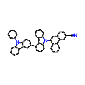 N#Cc1ccc2cc(-n3c4ccccc4c4c(-c5ccc6c(c5)c5ccccc5n6-c5ccccc5)cccc43)c3ccccc3c2c1